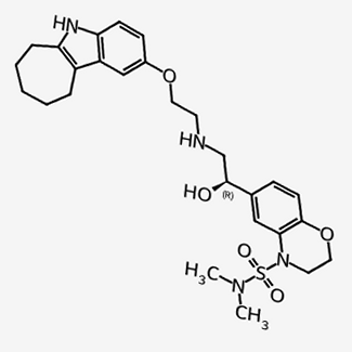 CN(C)S(=O)(=O)N1CCOc2ccc([C@@H](O)CNCCOc3ccc4[nH]c5c(c4c3)CCCCC5)cc21